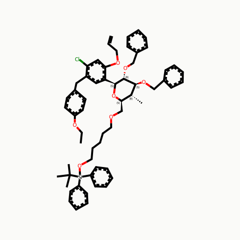 C=CCOc1cc(Cl)c(Cc2ccc(OCC)cc2)cc1[C@@H]1O[C@H](COCCCCCO[Si](c2ccccc2)(c2ccccc2)C(C)(C)C)[C@@H](C)[C@H](OCc2ccccc2)[C@H]1OCc1ccccc1